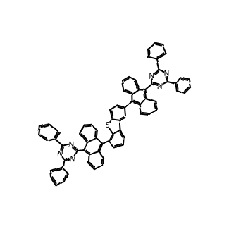 c1ccc(-c2nc(-c3ccccc3)nc(-c3c4ccccc4c(-c4ccc5sc6c(-c7c8ccccc8c(-c8nc(-c9ccccc9)nc(-c9ccccc9)n8)c8ccccc78)cccc6c5c4)c4ccccc34)n2)cc1